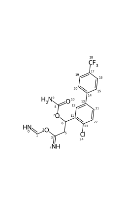 N=COC(=N)CC(OC(N)=O)c1cc(-c2ccc(C(F)(F)F)cc2)ccc1Cl